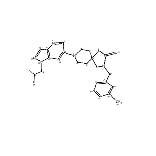 O=C1CC2(CCN(c3cnc4cnn(CC(F)F)c4n3)CC2)CN1Cc1cncc(C(F)(F)F)c1